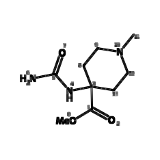 COC(=O)C1(NC(N)=O)CCN(C)CC1